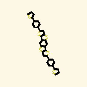 c1csc(-c2ccc(-c3cc4sc5cc6c(cc5c4s3)sc3cc(-c4ccc(-c5cccs5)cc4)sc36)cc2)c1